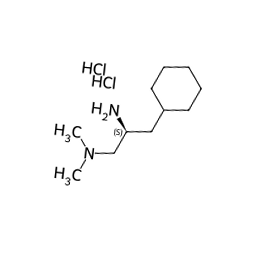 CN(C)C[C@@H](N)CC1CCCCC1.Cl.Cl